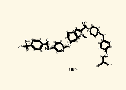 Br.Cn1c(C(=O)N2CCN(Cc3ccc(OCC(F)F)cc3)CC2)cc2ccc(Oc3ccc(NC(=O)c4ccc(C(F)(F)F)cc4)cn3)cc21